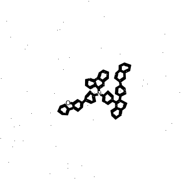 c1ccc2cc(-c3ccc(-c4ccc5ccccc5c4-c4ccc(N(c5ccc(-c6ccc7c(c6)oc6ccccc67)cc5)c5cc6ccccc6c6ccccc56)cc4)cc3)ccc2c1